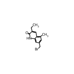 CCc1cc2c(C)cc(CBr)cc2[nH]c1=O